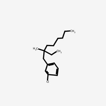 CCCCCCC(C)(CC)Cc1cccc(Cl)c1